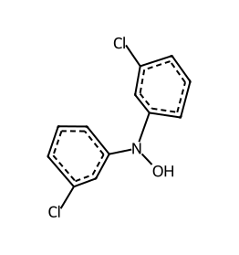 ON(c1cccc(Cl)c1)c1cccc(Cl)c1